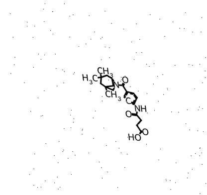 CC1(C)CC2CC(C)(CN2C(=O)c2ccc(NC(=O)CCC(=O)O)cc2)C1